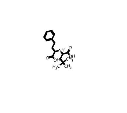 CC(C)(C)CC(NC(CCc1ccccc1)C(=O)O)C(=O)O